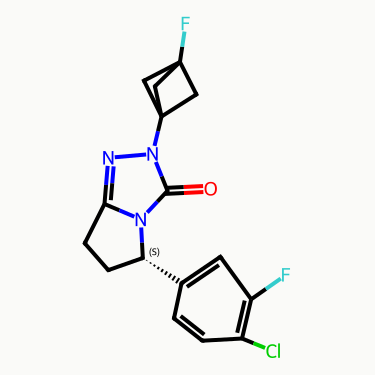 O=c1n(C23CC(F)(C2)C3)nc2n1[C@H](c1ccc(Cl)c(F)c1)CC2